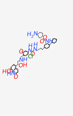 COc1cc(NC(=O)NCCCc2ccc(-c3ccccc3)c(NC(=O)OC3CCC(N)CC3)c2)c(Cl)cc1CNC[C@H](O)c1ccc(O)c2[nH]c(=O)ccc12